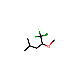 COC(CC(C)C)C(F)(F)F